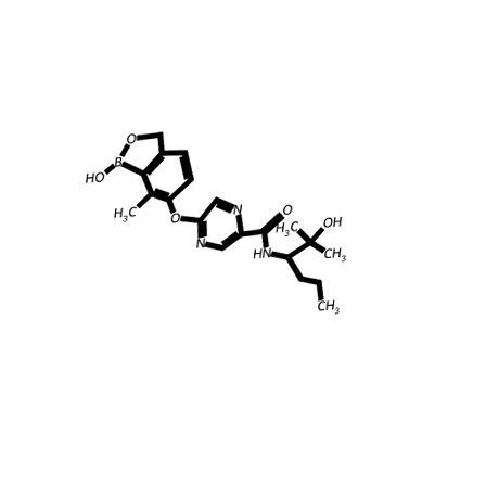 CCCC(NC(=O)c1cnc(Oc2ccc3c(c2C)B(O)OC3)cn1)C(C)(C)O